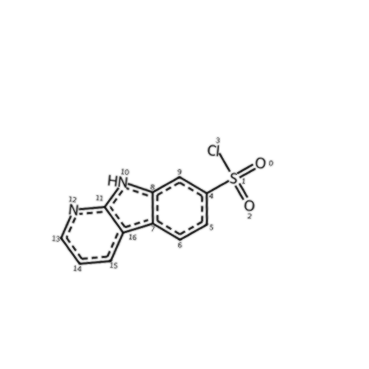 O=S(=O)(Cl)c1ccc2c(c1)[nH]c1ncccc12